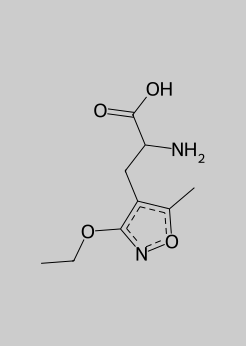 CCOc1noc(C)c1CC(N)C(=O)O